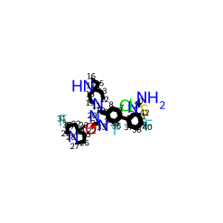 Nc1nc2c(-c3c(Cl)cc4c(N5CCC6(CCN6)CC5)nc(OC[C@@]56CCCN5C[C@H](F)C6)nc4c3F)ccc(F)c2s1